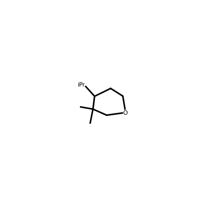 CC(C)C1CCOCC1(C)C